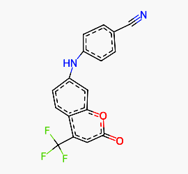 N#Cc1ccc(Nc2ccc3c(C(F)(F)F)cc(=O)oc3c2)cc1